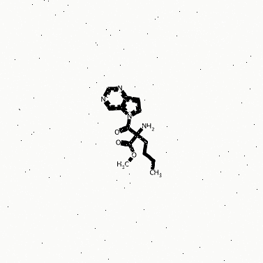 CCCCC(N)(C(=O)OC)C(=O)n1ccc2ncncc21